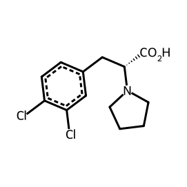 O=C(O)[C@@H](Cc1ccc(Cl)c(Cl)c1)N1CCCC1